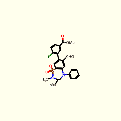 CCCCC1CN(c2ccccc2)c2cc(C=O)c(-c3cc(C(=O)OC)ccc3F)cc2S(=O)(=O)N1C